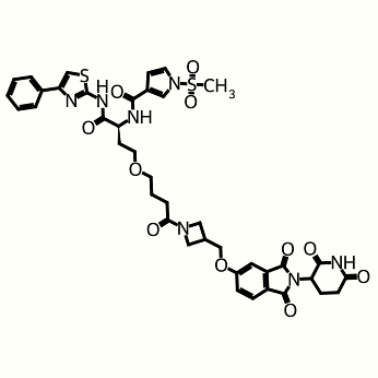 CS(=O)(=O)n1ccc(C(=O)N[C@@H](CCOCCCC(=O)N2CC(COc3ccc4c(c3)C(=O)N(C3CCC(=O)NC3=O)C4=O)C2)C(=O)Nc2nc(-c3ccccc3)cs2)c1